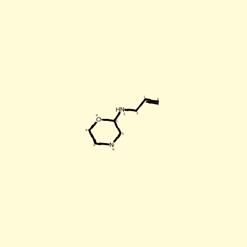 C=CCNC1C[N]CCO1